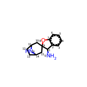 NC1c2ccccc2OC12CC1CCC(C2)N1